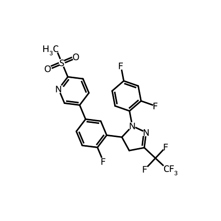 CS(=O)(=O)c1ccc(-c2ccc(F)c(C3CC(C(F)(F)C(F)(F)F)=NN3c3ccc(F)cc3F)c2)cn1